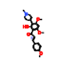 COc1ccc(/C=C/C(=O)c2c(OC)cc(OC)c(C3=CCN(C)CC3)c2O)cc1